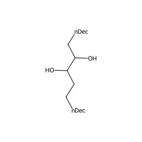 CCCCCCCCCCCCC(O)C(O)CCCCCCCCCCC